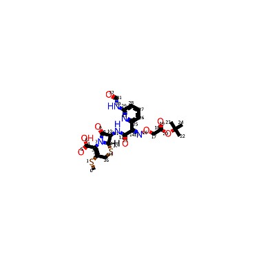 CSC1=C(C(=O)O)N2C(=O)C(NC(=O)/C(=N/OCC(=O)OC(C)(C)C)c3cccc(NC=O)n3)[C@H]2SC1